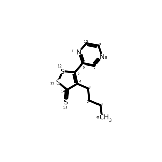 CCCCc1c(-c2cnccn2)ssc1=S